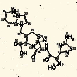 Nc1nc(/C(=N/O)C(=O)N[C@@H]2C(=O)N3C(C(=O)O)=C(CN4C=CN5NC=CC=C45)CS[C@@H]23)ns1